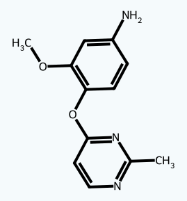 COc1cc(N)ccc1Oc1ccnc(C)n1